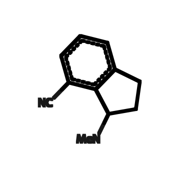 CNC1CCc2cccc(C#N)c21